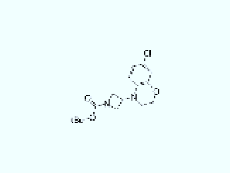 CC(C)(C)OC(=O)N1CC(N2CCOc3cc(Cl)ccc32)C1